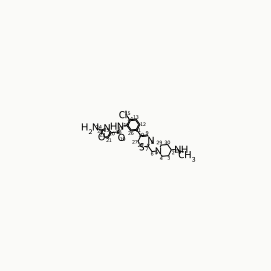 CNC1CCN(CC2=NC=C(c3ccc(Cl)c(NC(=O)c4coc(N)n4)c3)CS2)CC1